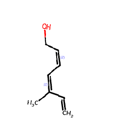 C=C/C(C)=C\C=C/CO